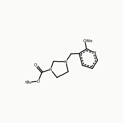 COc1ncccc1CN1CCN(C(=O)OC(C)(C)C)C1